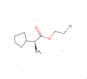 C[C@H](C(=O)OCCBr)C1CCCC1